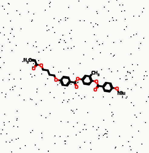 C=CC(=O)OCCCCOc1ccc(C(=O)Oc2ccc(OC(=O)c3ccc(OCCCC)cc3)c(C)c2)cc1